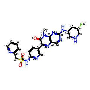 CC(C)n1c(=O)c(-c2ccc(NS(=O)(=O)Cc3ccccn3)nc2)nc2cnc(N[C@@H]3CNC[C@@H](F)C3)nc21